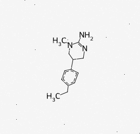 CCc1ccc(C2CN=C(N)N(C)C2)cc1